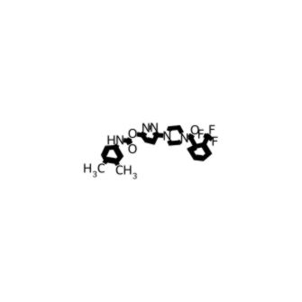 Cc1ccc(NC(=O)Oc2ccc(N3CCN(C(=O)c4ccccc4C(F)(F)F)CC3)nn2)cc1C